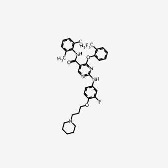 Cc1cccc(C)c1NC(=O)c1cnc(Nc2ccc(OCCCN3CCCCC3)c(F)c2)nc1Oc1ccccc1C(F)(F)F